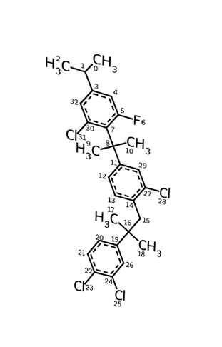 CC(C)c1cc(F)c(C(C)(C)c2ccc(CC(C)(C)c3ccc(Cl)c(Cl)c3)c(Cl)c2)c(Cl)c1